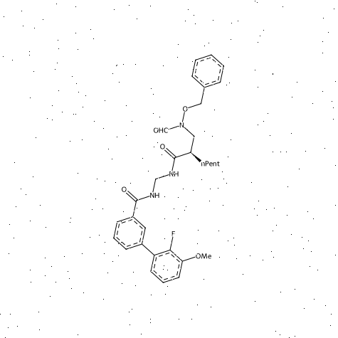 CCCCC[C@H](CN(C=O)OCc1ccccc1)C(=O)NCNC(=O)c1cccc(-c2cccc(OC)c2F)c1